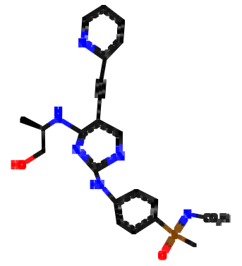 CCOC(=O)N=S(C)(=O)c1ccc(Nc2ncc(C#Cc3ccccn3)c(N[C@H](C)CO)n2)cc1